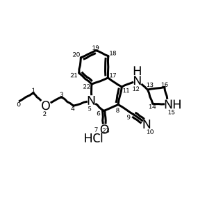 CCOCCn1c(=O)c(C#N)c(NC2CNC2)c2ccccc21.Cl